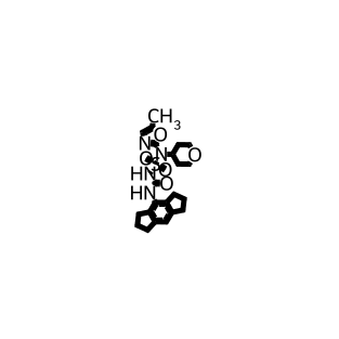 Cc1cnc(N(C2CCOCC2)S(=O)(=O)NC(=O)Nc2c3c(cc4c2CCC4)CCC3)o1